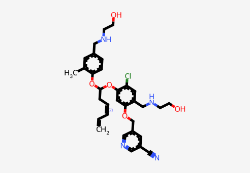 C=C/C=C\CC(Oc1ccc(CNCCO)cc1C)Oc1cc(OCc2cncc(C#N)c2)c(CNCCO)cc1Cl